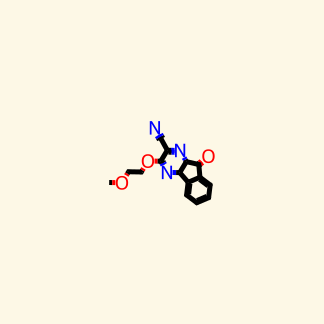 COCCOC1=NC2c3ccccc3C(=O)C2N=C1C#N